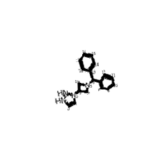 C1=CN(C2CN(C(c3ccccc3)c3ccccc3)C2)NN1